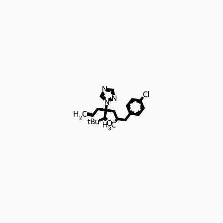 C=CCC(CC(C)Cc1ccc(Cl)cc1)(C(=O)C(C)(C)C)n1cncn1